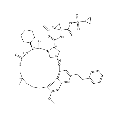 C=C[C@@H]1CC1(NC(=O)[C@@H]1C[C@@H]2CN1C(=O)[C@H](C1CCCCC1)NC(=O)OCC(C)(C)CCCc1cc3c(cc(CCc4ccccc4)nc3cc1OC)O2)C(=O)NS(=O)(=O)C1CC1